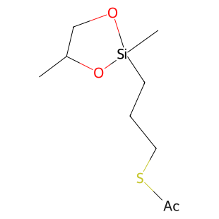 CC(=O)SCCC[Si]1(C)OCC(C)O1